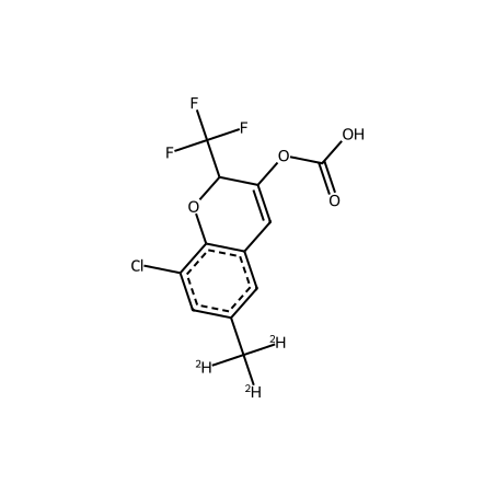 [2H]C([2H])([2H])c1cc(Cl)c2c(c1)C=C(OC(=O)O)C(C(F)(F)F)O2